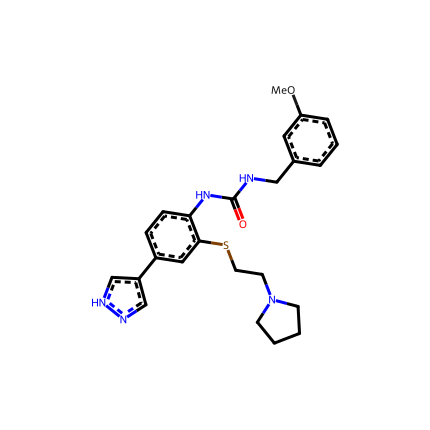 COc1cccc(CNC(=O)Nc2ccc(-c3cn[nH]c3)cc2SCCN2CCCC2)c1